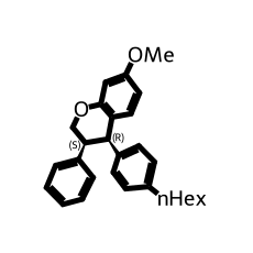 CCCCCCc1ccc([C@@H]2c3ccc(OC)cc3OC[C@@H]2c2ccccc2)cc1